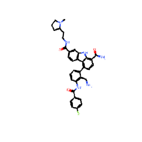 CN1CCCC1CCNC(=O)c1ccc2c(c1)[nH]c1c(C(N)=O)ccc(-c3cccc(NC(=O)c4ccc(F)cc4)c3CN)c12